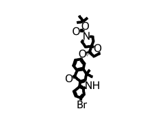 CC(C)(C)OC(=O)N1CCC2(CC1)OCC[C@H]2Oc1ccc2c(c1)C(C)(C)c1[nH]c3cc(Br)ccc3c1C2=O